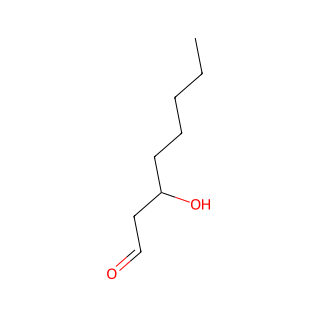 CCCCCC(O)CC=O